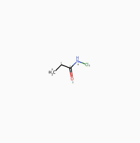 [CH2]CC(=O)NCl